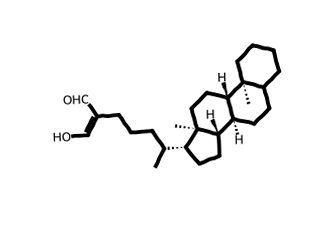 CC(CCCC(C=O)=CO)[C@H]1CC[C@H]2[C@@H]3CCC4CCCC[C@]4(C)[C@H]3CC[C@]12C